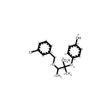 CC(OCc1cccc(Cl)c1)C(C)(Oc1ccc(O)cc1)C(=O)O